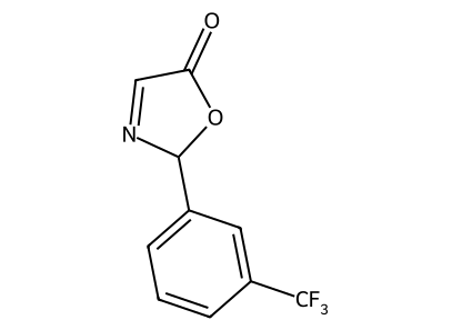 O=C1C=NC(c2cccc(C(F)(F)F)c2)O1